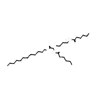 CCCCCCCCCCCCOC(=O)[C@H](CCCCNC(=O)CCCCC)NC(=O)CCCCC